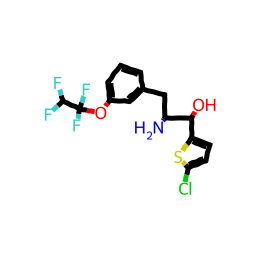 NC(Cc1cccc(OC(F)(F)C(F)F)c1)C(O)c1ccc(Cl)s1